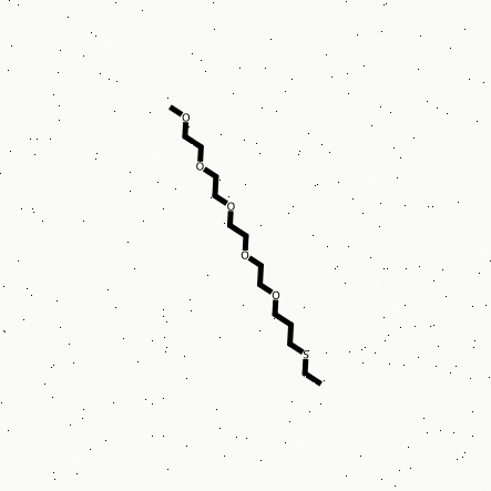 CCSCCCOCCOCCOCCOCCOC